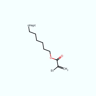 C=C(CC)C(=O)OCCCCCCCCCCCCC